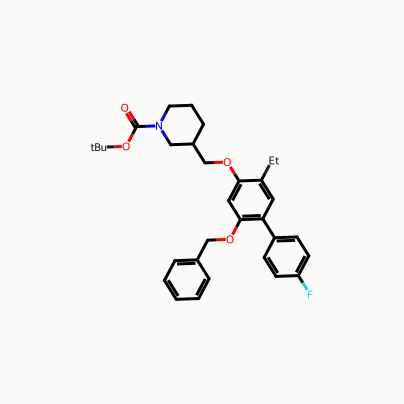 CCc1cc(-c2ccc(F)cc2)c(OCc2ccccc2)cc1OCC1CCCN(C(=O)OC(C)(C)C)C1